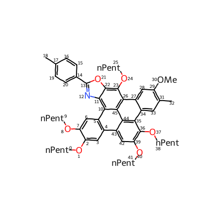 CCCCCOc1cc2c(cc1OCCCCC)c1c3nc(-c4ccc(C)cc4)oc3c(OCCCCC)c3c4cc(OC)c(C)cc4c4c(OCCCCC)c(OCCCCC)cc2c4c31